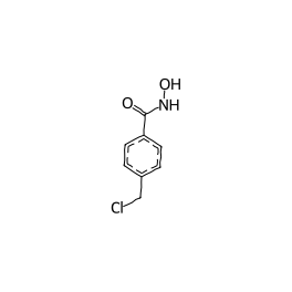 O=C(NO)c1ccc(CCl)cc1